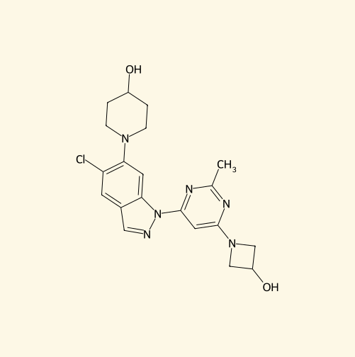 Cc1nc(N2CC(O)C2)cc(-n2ncc3cc(Cl)c(N4CCC(O)CC4)cc32)n1